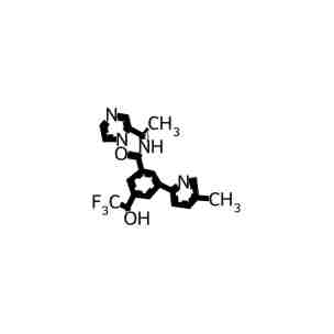 Cc1ccc(-c2cc(C(=O)N[C@H](C)c3cnccn3)cc(C(O)C(F)(F)F)c2)nc1